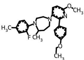 CCOc1ccc(-c2nc(OC)ccc2N2CCC(C)N(c3ccc(C)cc3F)CC2)cc1